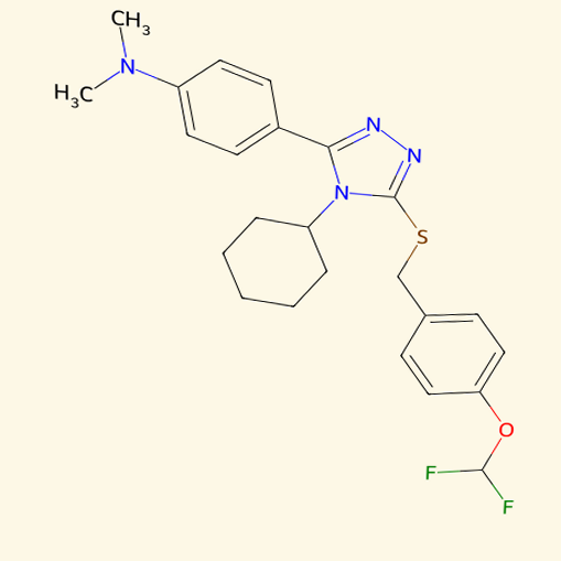 CN(C)c1ccc(-c2nnc(SCc3ccc(OC(F)F)cc3)n2C2CCCCC2)cc1